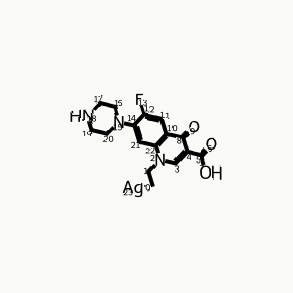 CCn1cc(C(=O)O)c(=O)c2cc(F)c(N3CCNCC3)cc21.[Ag]